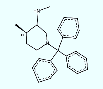 CNC1CN(C(c2ccccc2)(c2ccccc2)c2ccccc2)CC[C@H]1C